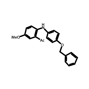 COc1ccc(Nc2ccc(OCc3ccccc3)cc2)c(C(C)=O)c1